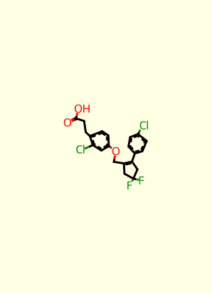 O=C(O)CCc1ccc(OCC2=C(c3ccc(Cl)cc3)CC(F)(F)C2)cc1Cl